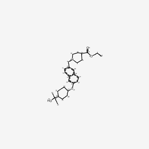 CCOC(=O)C1CCN(Cc2ccc3cc(OC4CCC(C(C)(C)O)CC4)ccc3c2)CC1